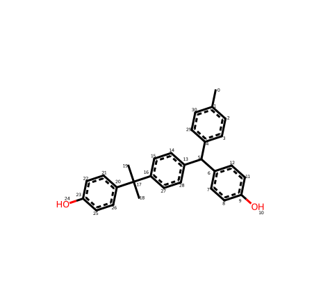 Cc1ccc(C(c2ccc(O)cc2)c2ccc(C(C)(C)c3ccc(O)cc3)cc2)cc1